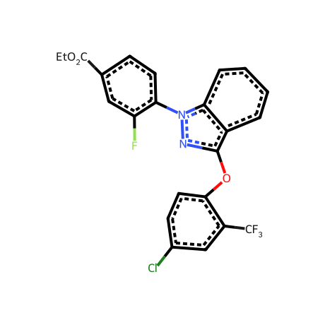 CCOC(=O)c1ccc(-n2nc(Oc3ccc(Cl)cc3C(F)(F)F)c3ccccc32)c(F)c1